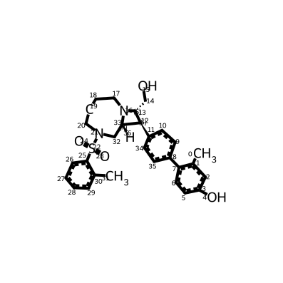 Cc1cc(O)ccc1-c1ccc([C@@H]2[C@@H](CO)N3CCCCN(S(=O)(=O)c4ccccc4C)C[C@@H]23)cc1